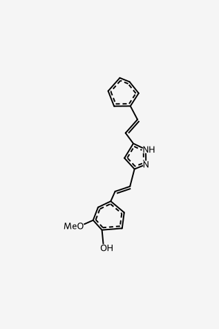 COc1cc(C=Cc2cc(/C=C/c3ccccc3)[nH]n2)ccc1O